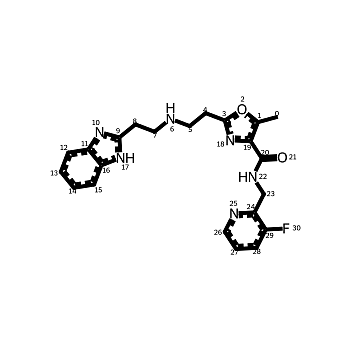 Cc1oc(CCNCCc2nc3ccccc3[nH]2)nc1C(=O)NCc1ncccc1F